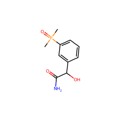 CP(C)(=O)c1cccc(C(O)C(N)=O)c1